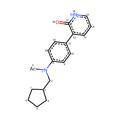 CC(=O)N(CC1CCCC1)c1ccc(-c2ccc[nH]c2=O)cc1